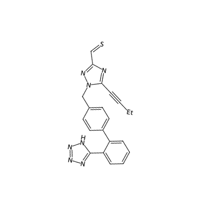 CCC#Cc1nc(C=S)nn1Cc1ccc(-c2ccccc2-c2nnn[nH]2)cc1